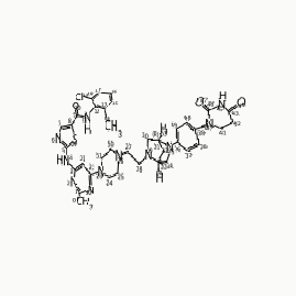 Cc1nc(Nc2ncc(C(=O)Nc3c(C)cccc3Cl)s2)cc(N2CCN(CCN3C[C@H]4C[C@@H]3CN4c3ccc(N4CCC(=O)NC4=O)cc3)CC2)n1